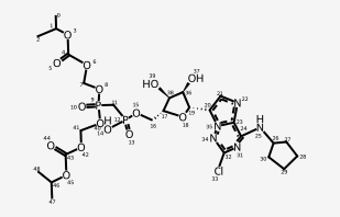 CC(C)OC(=O)OCOP(=O)(CP(=O)(O)OC[C@H]1O[C@@H](c2cnc3c(NC4CCCC4)nc(Cl)nn23)[C@H](O)[C@@H]1O)OCOC(=O)OC(C)C